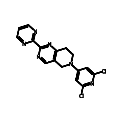 Clc1cc(N2CCc3nc(-c4ncccn4)ncc3C2)cc(Cl)n1